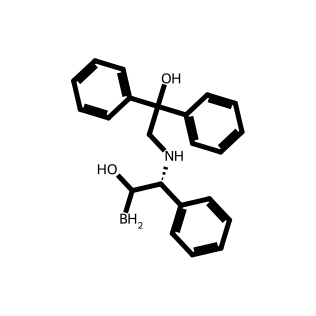 BC(O)[C@H](NCC(O)(c1ccccc1)c1ccccc1)c1ccccc1